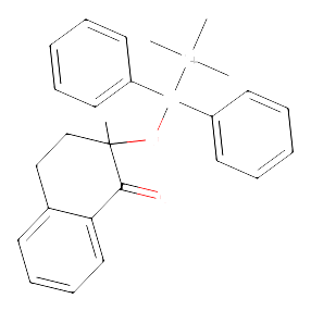 CC1(O[Si](c2ccccc2)(c2ccccc2)[Si](C)(C)C)CCc2ccccc2C1=O